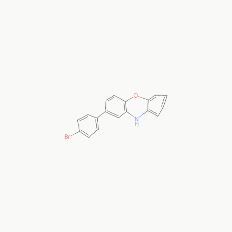 Brc1ccc(-c2ccc3c(c2)Nc2ccccc2O3)cc1